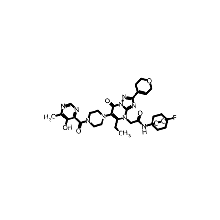 CCc1c(N2CCN(C(=O)c3ncnc(C)c3O)CC2)c(=O)n2nc(C3=CCOCC3)nc2n1CC(=O)NC12CCC(F)(CC1)CC2